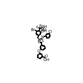 O=C(O)c1cccc(Oc2cccc(-c3nn(Cc4ccc(C(F)(F)P(=O)(O)O)c(Br)c4)c(=Nc4cccc(Cl)c4)s3)c2)c1